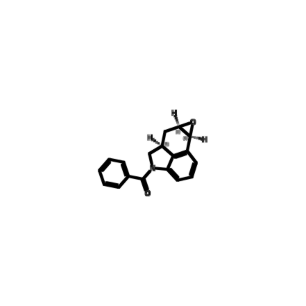 O=C(c1ccccc1)N1C[C@H]2C[C@H]3O[C@H]3c3cccc1c32